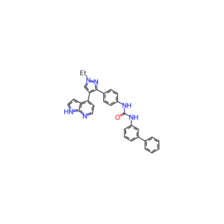 CCn1cc(-c2ccnc3[nH]ccc23)c(-c2ccc(NC(=O)Nc3cccc(-c4ccccc4)c3)cc2)n1